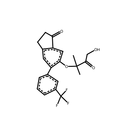 CC(C)(Oc1cc2c(cc1-c1cccc(C(F)(F)F)c1)CCC2=O)C(=O)CO